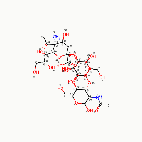 CC(=O)N[C@H]1C(O)O[C@H](CO)[C@@H](OC2O[C@H](CO)[C@H](O)[C@H](OC3(C(=O)O)C[C@H](O)[C@](N)(C(C)=O)[C@H]([C@H](O)[C@H](O)CO)O3)[C@H]2O)[C@@H]1OC1O[C@@H](C)[C@@H](O)[C@@H](O)[C@@H]1O